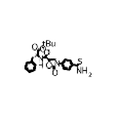 CC(C)(C)OC(=O)[C@@H](Cc1ccccc1)NC(=O)C1CN(c2ccc(C(N)=S)cc2)C(=O)O1